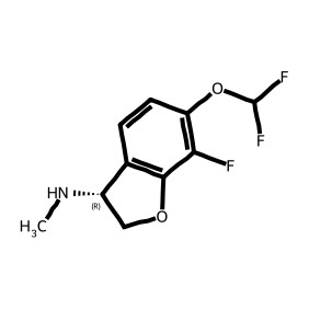 CN[C@H]1COc2c1ccc(OC(F)F)c2F